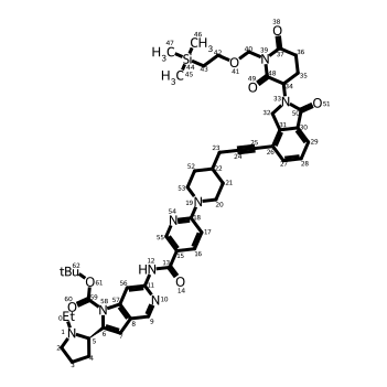 CCN1CCC[C@@H]1c1cc2cnc(NC(=O)c3ccc(N4CCC(CC#Cc5cccc6c5CN(C5CCC(=O)N(COCC[Si](C)(C)C)C5=O)C6=O)CC4)nc3)cc2n1C(=O)OC(C)(C)C